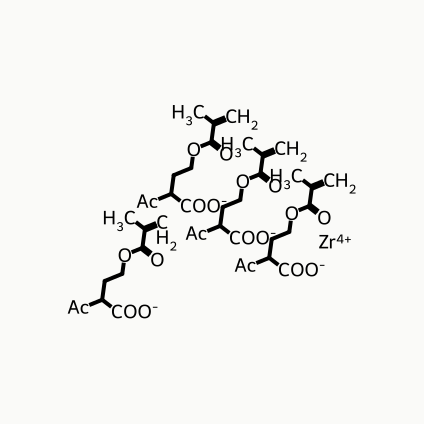 C=C(C)C(=O)OCCC(C(C)=O)C(=O)[O-].C=C(C)C(=O)OCCC(C(C)=O)C(=O)[O-].C=C(C)C(=O)OCCC(C(C)=O)C(=O)[O-].C=C(C)C(=O)OCCC(C(C)=O)C(=O)[O-].[Zr+4]